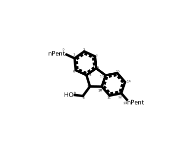 CCCCCc1ccc2c(c1)C(CO)c1cc(CCCCC)ccc1-2